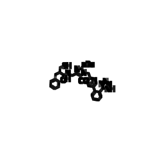 CCCCc1nc(CNC(=O)C(CS)Cc2ccccc2)c(C(=O)O)n1Cc1ccc(-c2ccccc2-c2nnn[nH]2)cc1